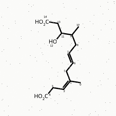 CC(=CCC(=O)O)CC=CCC(C)C(O)CC(=O)O